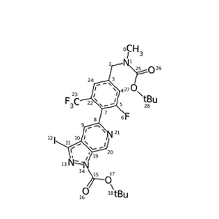 CN(Cc1cc(F)c(-c2cc3c(I)nn(C(=O)OC(C)(C)C)c3cn2)c(C(F)(F)F)c1)C(=O)OC(C)(C)C